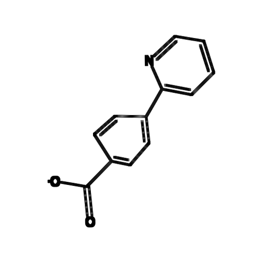 [O]C(=O)c1ccc(-c2ccccn2)cc1